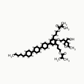 C=C(C)C(=O)OCCCc1cc(C2CCC(C3CCC(C4CCC(CCCCC)CC4)CC3)CC2)cc(CCCOC(=O)C(=C)C)c1OCCC(CO)(CO)CCC